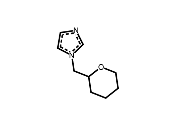 c1cn(CC2CCCCO2)cn1